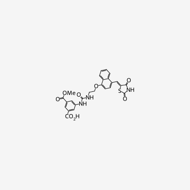 COC(=O)c1cc(NC(=O)NCCOc2ccc(/C=C3\SC(=O)NC3=O)c3ccccc23)cc(C(=O)O)c1